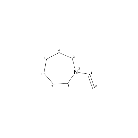 C=CN1CCCCCC1